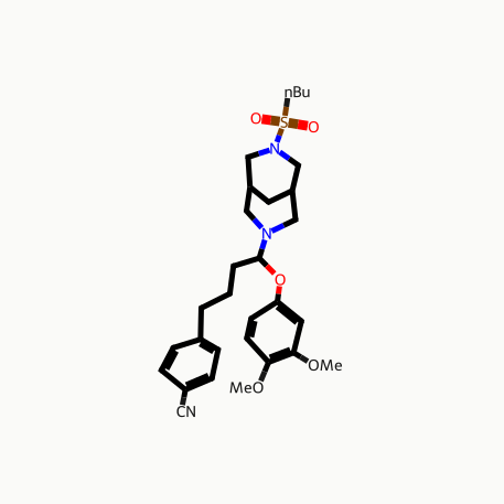 CCCCS(=O)(=O)N1CC2CC(CN(C(CCCc3ccc(C#N)cc3)Oc3ccc(OC)c(OC)c3)C2)C1